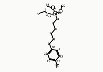 CCO[Si](CCCCCCc1ccc(F)cc1)(OC)OC